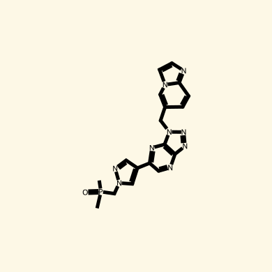 CP(C)(=O)Cn1cc(-c2cnc3nnn(Cc4ccc5nccn5c4)c3n2)cn1